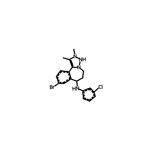 CC1=C2c3ccc(Br)cc3C(Nc3cccc(Cl)c3)CCN2NN1C